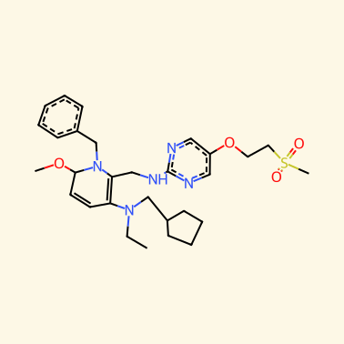 CCN(CC1CCCC1)C1=C(CNc2ncc(OCCS(C)(=O)=O)cn2)N(Cc2ccccc2)C(OC)C=C1